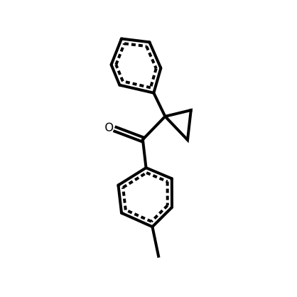 Cc1ccc(C(=O)C2(c3ccccc3)CC2)cc1